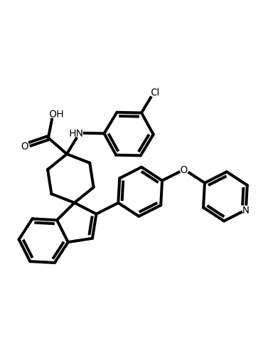 O=C(O)C1(Nc2cccc(Cl)c2)CCC2(CC1)C(c1ccc(Oc3ccncc3)cc1)=Cc1ccccc12